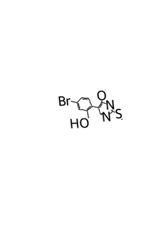 COc1nc(SC)ncc1-c1ccc(Br)cc1CO